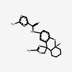 Cc1nc(C(=O)Nc2ccc3c(c2)C2(COC(N)=N2)C2CCCC[C@H]2O3)co1